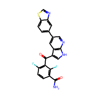 NC(=O)c1ccc(F)c(C(=O)c2c[nH]c3ncc(-c4ccc5scnc5c4)cc23)c1F